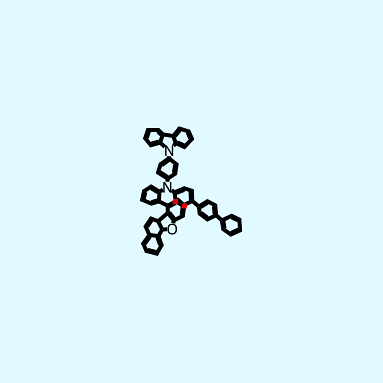 C1=CC2c3c(cccc3-c3ccccc3N(c3ccc(-c4ccc(-c5ccccc5)cc4)cc3)c3ccc(-n4c5ccccc5c5ccccc54)cc3)OC2c2ccccc21